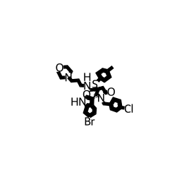 Cc1ccc(S[C@@]2(C(=O)NCCCN3CCOCC3)CC(=O)N(Cc3ccc(Cl)cc3)[C@H]2c2c[nH]c3cc(Br)ccc23)cc1